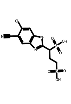 N#Cc1cc2c(cc1Cl)[N]C(C(CCS(=O)(=O)O)S(=O)(=O)O)=N2